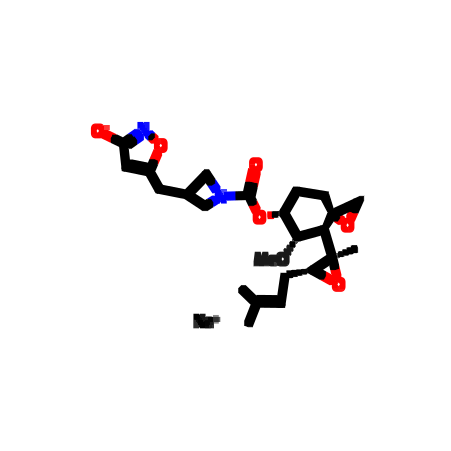 CO[C@@H]1[C@H](OC(=O)N2CC(Cc3cc([O-])no3)C2)CC[C@]2(CO2)[C@H]1[C@@]1(C)O[C@@H]1CC=C(C)C.[Na+]